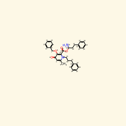 Cc1cc(=O)c(OCc2ccccc2)c(C(=O)OC(N)CCc2ccccc2)n1CCCc1ccccc1